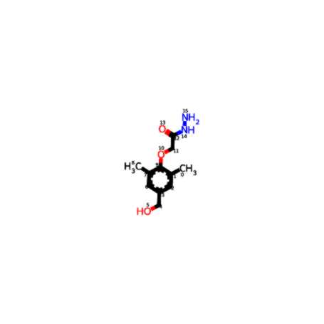 Cc1cc(CO)cc(C)c1OCC(=O)NN